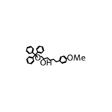 COc1ccc(CCCC[C@H](O)COC(c2ccccc2)(c2ccccc2)c2ccccc2)cc1